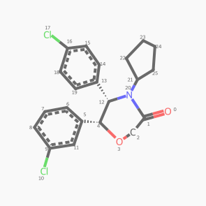 O=C1CO[C@H](c2cccc(Cl)c2)[C@H](c2ccc(Cl)cc2)N1C1CCCC1